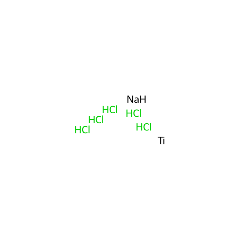 Cl.Cl.Cl.Cl.Cl.[NaH].[Ti]